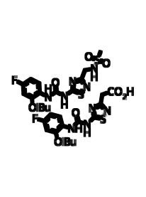 CC(C)COc1cc(F)ccc1NC(=O)Nc1nc(CC(=O)O)ns1.CC(C)COc1cc(F)ccc1NC(=O)Nc1nc(CNS(C)(=O)=O)ns1